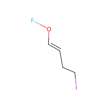 FOC=CCCI